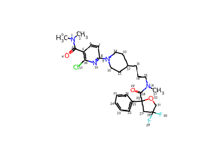 CN(C)C(=O)c1ccc(N2CCC(CCCN(C)C(=O)C3(c4ccccc4)CC(F)(F)CO3)CC2)nc1Cl